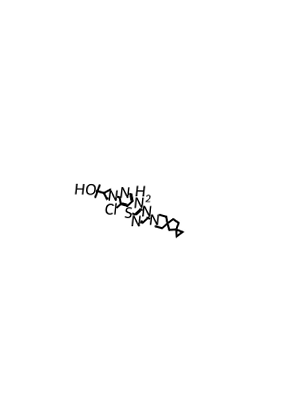 CC(C)(O)C1CN(c2nccc(Sc3ncc(N4CCC5(CC4)CCC4(CC4)C5)nc3N)c2Cl)C1